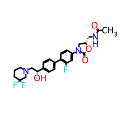 CC(=O)NC[C@H]1CN(c2ccc(-c3ccc([C@H](O)CN4CCCC(F)(F)C4)cc3)c(F)c2)C(=O)O1